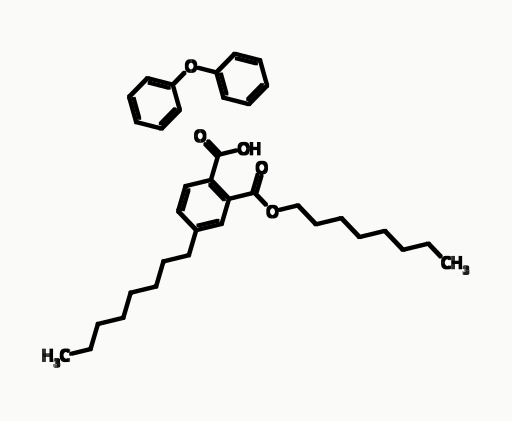 CCCCCCCCOC(=O)c1cc(CCCCCCCC)ccc1C(=O)O.c1ccc(Oc2ccccc2)cc1